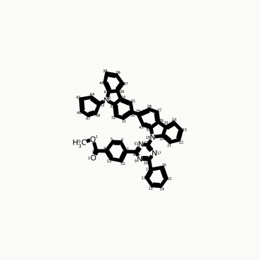 COC(=O)c1ccc(-c2nc(-c3ccccc3)nc(-n3c4ccccc4c4ccc(-c5ccc6c(c5)c5ccccc5n6-c5ccccc5)cc43)n2)cc1